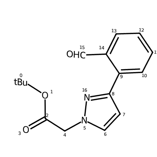 CC(C)(C)OC(=O)Cn1ccc(-c2ccccc2C=O)n1